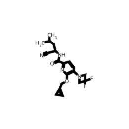 CC(C)CC(C#N)NC(=O)c1ccc(N2CC(F)(F)C2)c(OCC2=CC2)n1